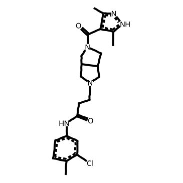 Cc1ccc(NC(=O)CCN2CC3CN(C(=O)c4c(C)n[nH]c4C)CC3C2)cc1Cl